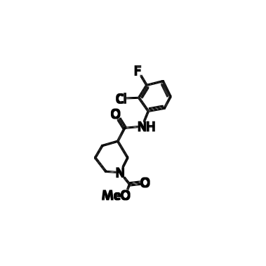 COC(=O)N1CCCC(C(=O)Nc2cccc(F)c2Cl)C1